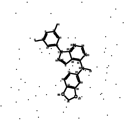 Cc1cc(C)cc(-n2ncc3c(N(C)c4ccc5c(c4)OCO5)ncnc32)c1